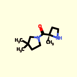 CC1(C)CCN(C(=O)[C@@]2(C)CCN2)C1